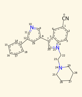 N#Cc1ccc2c(c1)c(-c1cncc(-c3ccccc3)c1)cn2CCN1CCCCC1